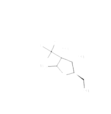 BC1O[C@H](CO)[C@@H](O)[C@]1(O)C(F)(F)F